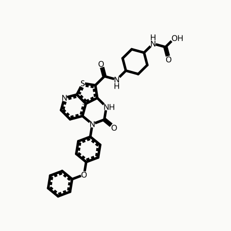 O=C(O)NC1CCC(NC(=O)c2sc3nccc4c3c2NC(=O)N4c2ccc(Oc3ccccc3)cc2)CC1